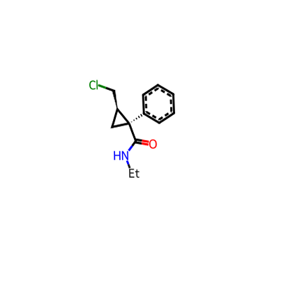 CCNC(=O)[C@@]1(c2ccccc2)C[C@H]1CCl